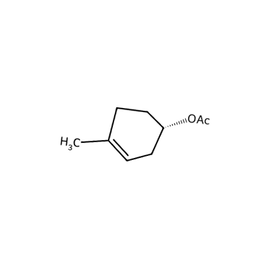 CC(=O)O[C@@H]1CC=C(C)CC1